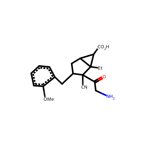 CCC12C(CC(Cc3ccccc3OC)C1(C#N)C(=O)CN)C2C(=O)O